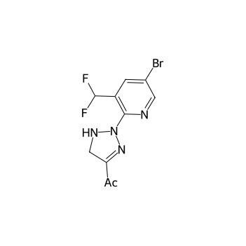 CC(=O)C1=NN(c2ncc(Br)cc2C(F)F)NC1